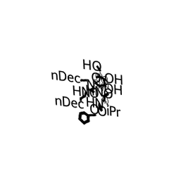 CCCCCCCCCCCCNC(=O)N(CCCCCCCCCCCC)[C@@H]1O[C@H](CO)[C@@H](O)[C@H](O)[C@H]1NC(=O)[C@H](CC(C)C)NC(=O)OCc1ccccc1